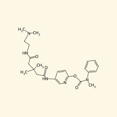 CN(C)CCNC(=O)CC(C)(C)CC(=O)Nc1ccc(OC(=O)N(C)c2ccccc2)nc1